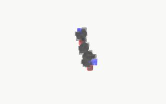 Cc1cc(-c2ccc(OCc3ccncc3)cc2)cc2ccc(=O)[nH]c12